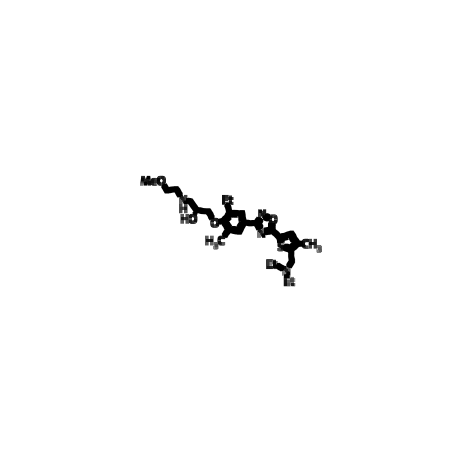 CCc1cc(-c2noc(-c3cc(C)c(CN(CC)CC)s3)n2)cc(C)c1OC[C@@H](O)CNCCOC